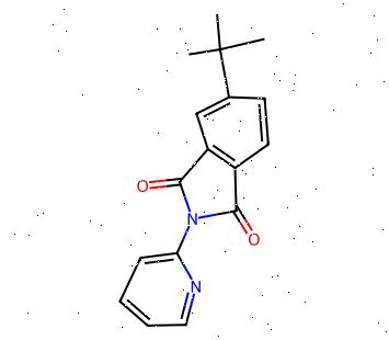 CC(C)(C)c1ccc2c(c1)C(=O)N(c1ccccn1)C2=O